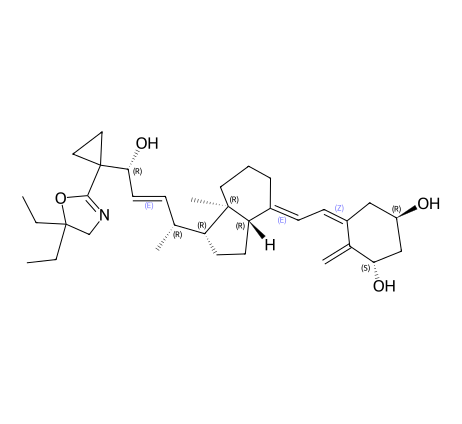 C=C1/C(=C\C=C2/CCC[C@]3(C)[C@@H]([C@H](C)/C=C/[C@@H](O)C4(C5=NCC(CC)(CC)O5)CC4)CC[C@@H]23)C[C@@H](O)C[C@@H]1O